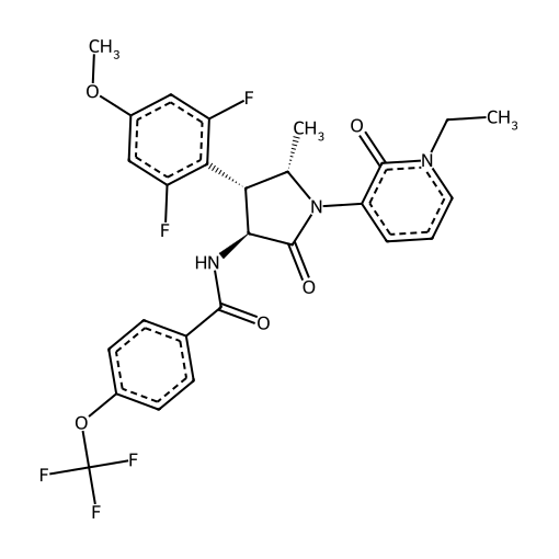 CCn1cccc(N2C(=O)[C@@H](NC(=O)c3ccc(OC(F)(F)F)cc3)[C@H](c3c(F)cc(OC)cc3F)[C@@H]2C)c1=O